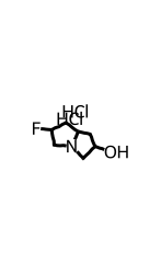 Cl.Cl.OC1CC2CC(F)CN2C1